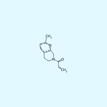 C=CC(=O)N1CCc2ccc(C)nc2C1